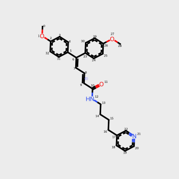 COc1ccc(C(=C/C=C/C(=O)NCCCCc2cccnc2)c2ccc(OC)cc2)cc1